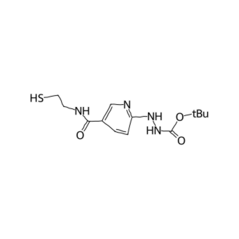 CC(C)(C)OC(=O)NNc1ccc(C(=O)NCCS)cn1